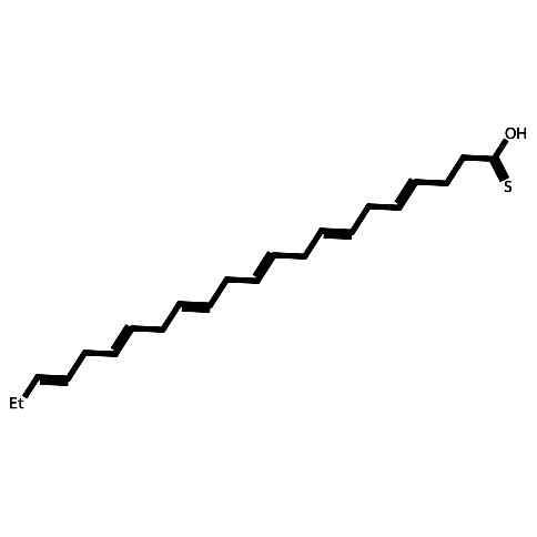 CCC=CCC=CCC=CCC=CCC=CCC=CCCC(O)=S